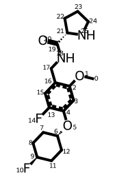 COc1cc(O[C@H]2CC[C@H](F)CC2)c(F)cc1CNC(=O)[C@@H]1CCCN1